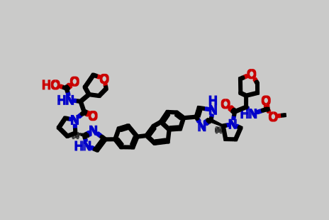 COC(=O)NC(C(=O)N1CCC[C@H]1c1nc(-c2ccc3cc(-c4ccc(-c5c[nH]c([C@@H]6CCCN6C(=O)C(NC(=O)O)C6CCOCC6)n5)cc4)ccc3c2)c[nH]1)C1CCOCC1